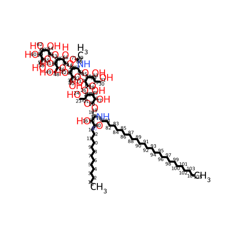 CCCCCCCCCCCCC/C=C/[C@@H](O)[C@H](CO[C@@H]1OC(CO)[C@@H](O[C@@H]2OC(CO)[C@H](O)[C@H](O[C@@H]3OC(CO)[C@@H](O)[C@H](O[C@@H]4OC(CO)[C@H](O)[C@H](O[C@H]5OC(CO)[C@H](O)[C@H](O)C5O)C4O)C3NC(C)=O)C2O)[C@H](O)C1O)NC(=O)CCCCCCCCCCCCCCCCCCCCCCCCC